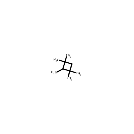 CC1(C)CC(C)(C)C1[SiH3]